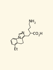 CCc1cccc2c1CCc1c(CC(CCCN)C(=O)O)ncn1-2